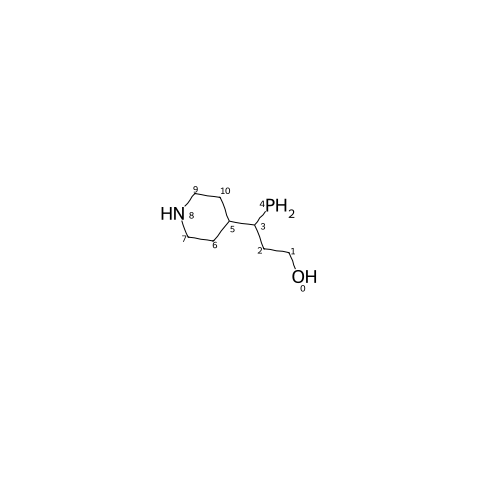 OCCC(P)C1CCNCC1